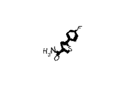 NC(=O)c1csc(-c2ccc(F)cc2)c1